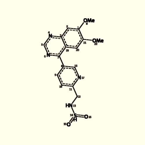 COc1cc2ncnc(-c3ccc(CN[SH](=O)=O)nc3)c2cc1OC